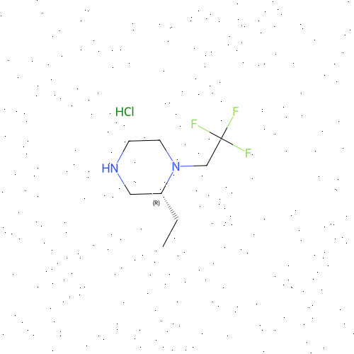 CC[C@@H]1CNCCN1CC(F)(F)F.Cl